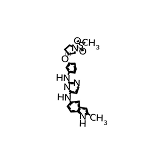 Cc1cc2cc(Nc3ccnc(Nc4cccc(O[C@H]5CCN(S(C)(=O)=O)C5)c4)n3)ccc2[nH]1